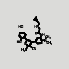 CN(C)c1ccc(-c2cc(-c3ccccc3O)nc(N)c2C#N)cc1NC(=O)CNCC1CC1.Cl